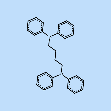 c1ccc([As](CCC[CH2][Sb]([c]2ccccc2)[c]2ccccc2)c2ccccc2)cc1